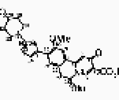 CCOC(=O)c1cn2c(cc1=O)-c1cc(OC)c(-c3cnc(N4CCC(O)CC4)s3)cc1CC2C(C)(C)C